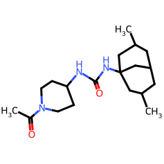 CC(=O)N1CCC(NC(=O)NC23CC(C)CC(CC(C)C2)C3)CC1